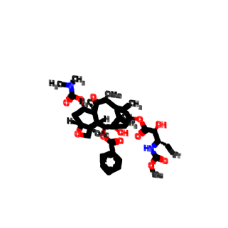 CO[C@H]1C(=O)[C@]2(C)[C@@H](OC(=O)N(C)C)C[C@H]3OC[C@@]3(OC(C)=O)[C@H]2[C@H](OC(=O)c2ccccc2)[C@]2(O)C[C@H](OC(=O)[C@H](O)[C@H](CC(C)C)NC(=O)OC(C)(C)C)C(C)=C1C2(C)C